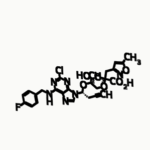 C#CC[C@@H](O[C@@H](C)COC(Cc1cc(C)on1)(C(=O)O)C(=O)O)n1cnc2c(NCc3ccc(F)cc3)nc(Cl)nc21